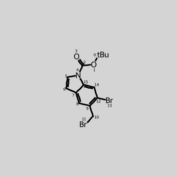 CC(C)(C)OC(=O)n1ccc2cc(CBr)c(Br)cc21